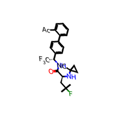 CC(=O)c1ccccc1-c1ccc([C@H](NC(=O)[C@H](CC(C)(C)F)NC2(C#N)CC2)C(F)(F)F)cc1